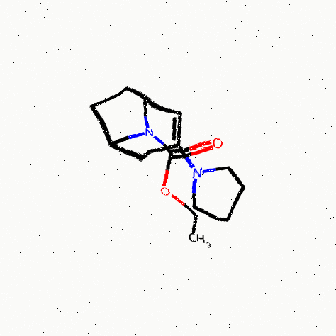 CCOC(=O)N1C2C=C(N3CCCC3)CC1CC2